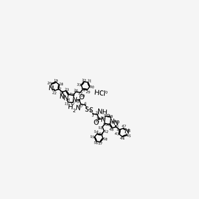 Cl.N[C@@H](CSSC[C@H](N)C(=O)N1CCn2nc(-c3cccnc3)cc2C1CCc1ccccc1)C(=O)N1CCn2nc(-c3cccnc3)cc2C1CCc1ccccc1